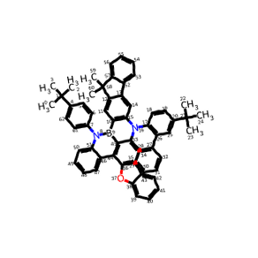 CC(C)(C)c1ccc(N2B3c4cc5c(cc4N(c4ccc(C(C)(C)C)cc4-c4ccccc4)c4cc6c(oc7ccccc76)c(c43)-c3ccccc32)-c2ccccc2C5(C)C)cc1